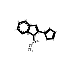 [Cl-].[Cl-].[Zr+2][CH]1C(C2=CC=CC2)=Cc2ccccc21